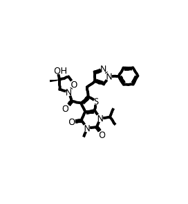 CC(C)n1c(=O)n(C)c(=O)c2c(C(=O)N3C[C@](C)(O)CO3)c(Cc3cnn(-c4ccccc4)c3)sc21